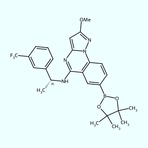 COc1cc2nc(N[C@H](C)c3cccc(C(F)(F)F)c3)c3cc(B4OC(C)(C)C(C)(C)O4)ccc3n2n1